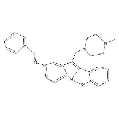 CN1CCN(Cc2c3cc(OCc4ccccc4)ccc3n3sc4ccccc4c23)CC1